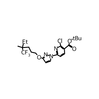 CCC(C)(CCCOc1ccn(-c2ccc(C(=O)OC(C)(C)C)c(Cl)n2)n1)C(F)(F)F